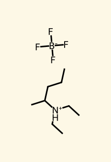 CCCC(C)[NH+](CC)CC.F[B-](F)(F)F